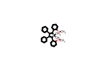 COc1ccccc1C1=C(c2ccccc2)C(c2ccccc2)=C(c2ccccc2OC)[Si]1(C)C